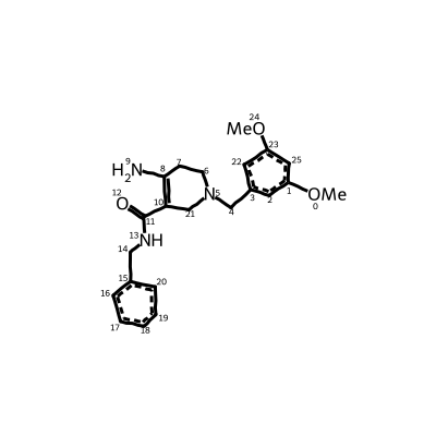 COc1cc(CN2CCC(N)=C(C(=O)NCc3ccccc3)C2)cc(OC)c1